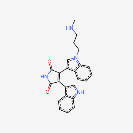 CNCCCn1cc(C2=C(c3c[nH]c4ccccc34)C(=O)NC2=O)c2ccccc21